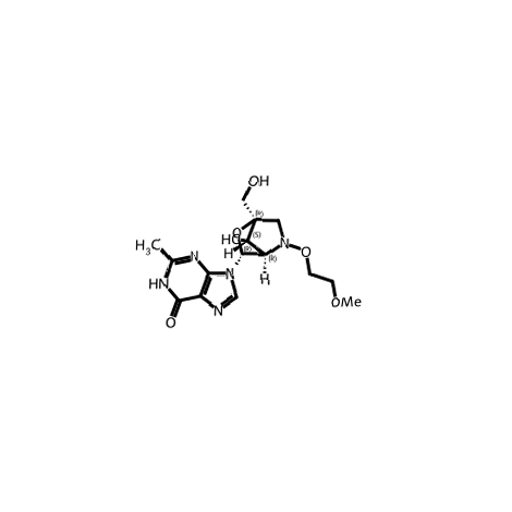 COCCON1C[C@]2(CO)O[C@@H](n3cnc4c(=O)[nH]c(C)nc43)[C@H]1[C@@H]2O